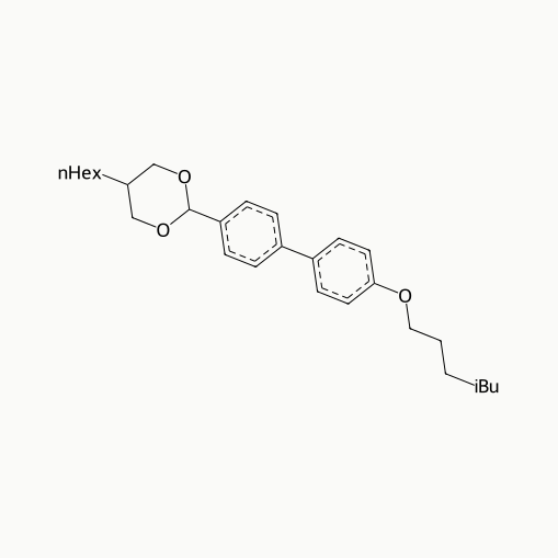 CCCCCCC1COC(c2ccc(-c3ccc(OCCCC(C)CC)cc3)cc2)OC1